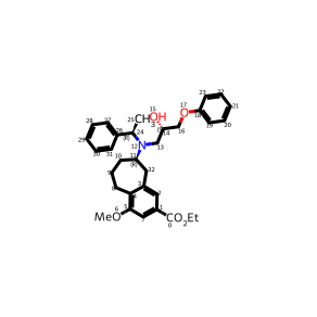 CCOC(=O)c1cc2c(c(OC)c1)CCC[C@@H](N(C[C@H](O)COc1ccccc1)[C@H](C)c1ccccc1)C2